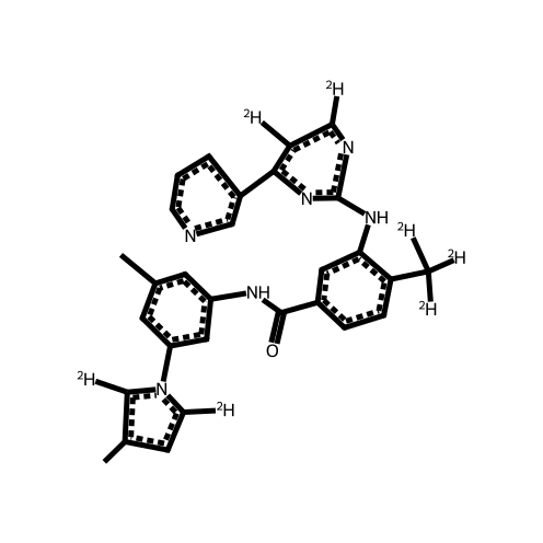 [2H]c1nc(Nc2cc(C(=O)Nc3cc(C)cc(-n4c([2H])cc(C)c4[2H])c3)ccc2C([2H])([2H])[2H])nc(-c2cccnc2)c1[2H]